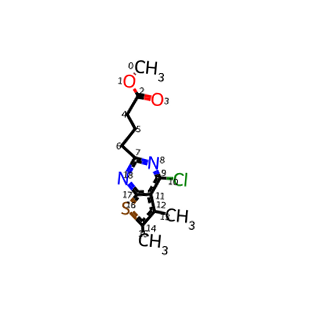 COC(=O)CCCc1nc(Cl)c2c(C)c(C)sc2n1